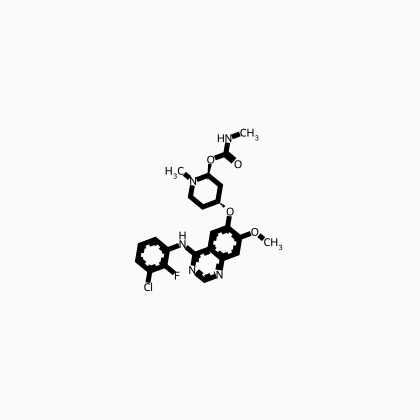 CNC(=O)O[C@H]1C[C@H](Oc2cc3c(Nc4cccc(Cl)c4F)ncnc3cc2OC)CCN1C